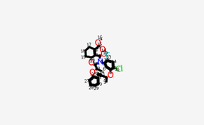 C#CC(C)Oc1cc(N(C(=O)C2=C(C(=O)OC)CCCC2)C(=O)C(C)Oc2ccccc2)c(F)cc1Cl